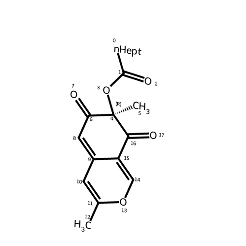 CCCCCCCC(=O)O[C@]1(C)C(=O)C=C2C=C(C)OC=C2C1=O